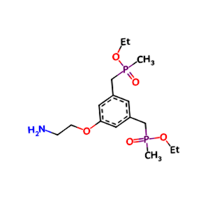 CCOP(C)(=O)Cc1cc(CP(C)(=O)OCC)cc(OCCN)c1